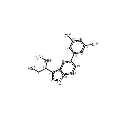 NNC(CS)c1c[nH]c2ncc(-c3cc(Cl)cc(Cl)c3)cc12